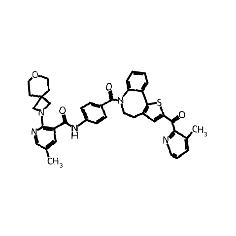 Cc1cnc(N2CC3(CCOCC3)C2)c(C(=O)Nc2ccc(C(=O)N3CCc4cc(C(=O)c5ncccc5C)sc4-c4ccccc43)cc2)c1